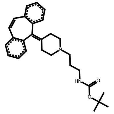 CC(C)(C)OC(=O)NCCCN1CCC(=C2c3ccccc3C=Cc3ccccc32)CC1